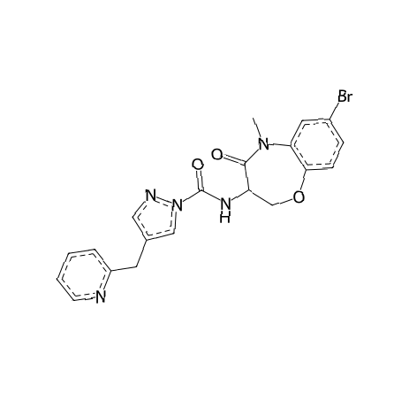 CN1C(=O)C(NC(=O)n2cc(Cc3ccccn3)cn2)COc2ccc(Br)cc21